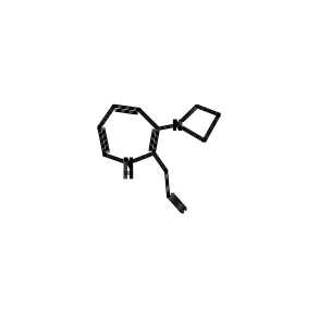 C=CCC1=C(N2CCC2)C=CC=CN1